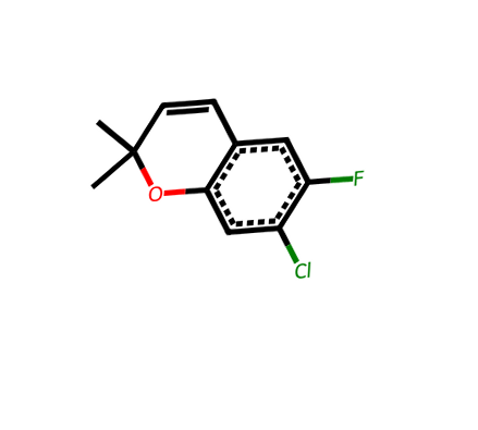 CC1(C)C=Cc2cc(F)c(Cl)cc2O1